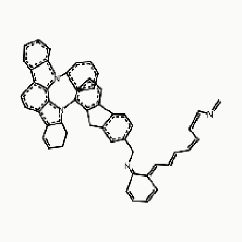 C=N\C=C/C=C\C=C\C=C1/C=CC=C/C1=N/Cc1ccc2c(c1)Cc1c-2cccc1-n1c2c(c3ccc4c5ccccc5n(-c5ccccc5)c4c31)C=CCC2